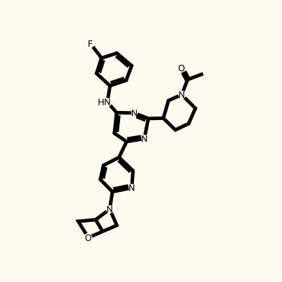 CC(=O)N1CCCC(c2nc(Nc3cccc(F)c3)cc(-c3ccc(N4CC5OCC54)nc3)n2)C1